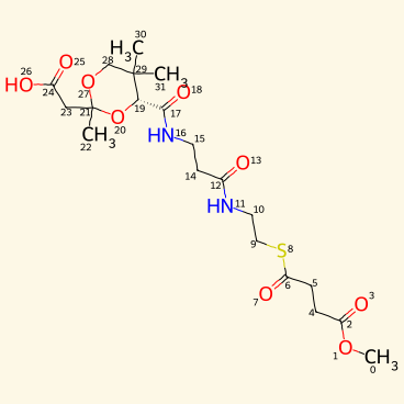 COC(=O)CCC(=O)SCCNC(=O)CCNC(=O)[C@@H]1OC(C)(CC(=O)O)OCC1(C)C